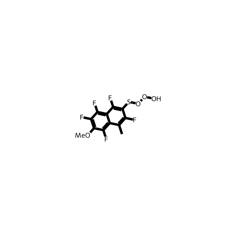 COc1c(F)c(F)c2c(F)c(SOOO)c(F)c(C)c2c1F